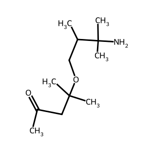 CC(=O)CC(C)(C)OCC(C)C(C)(C)N